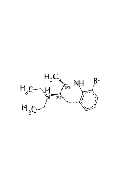 CC[SiH](CC)[C@@H]1Cc2cccc(Br)c2N[C@@H]1C